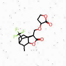 CC1C2CCC3C1OC(=O)C3(COC1CCOC1=O)C2C(F)(F)F